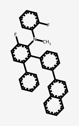 CN(c1ccccc1F)c1c(F)ccc(-c2ccccc2)c1-c1cccc(-c2ccc3ccccc3c2)c1